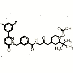 CC(C)(C)C1CC(CC(=O)CNC(=O)c2cccc(Cn3nc(-c4cc(F)cc(F)c4)ccc3=O)c2)CCN1OC(=O)O